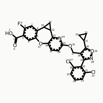 O=C(O)c1cc2c(cc1F)C1CC1c1nc(OCc3c(-c4c(Cl)cccc4Cl)noc3C3CC3)ccc1O2